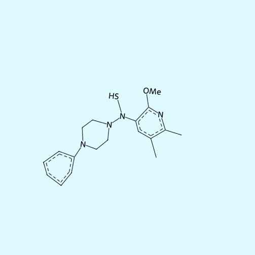 COc1nc(C)c(C)cc1N(S)N1CCN(c2ccccc2)CC1